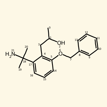 CC(O)Cc1c(OCc2ccccc2)cccc1C(C)(C)N